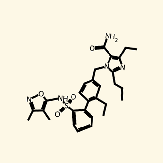 CCCc1nc(CC)c(C(N)=O)n1Cc1ccc(-c2ccccc2S(=O)(=O)Nc2onc(C)c2C)c(CC)c1